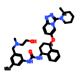 C[C@H]1CCCCN1c1nnc2ccc(O[C@@H]3CCC(NC(=O)Nc4cc(CN(C)CCO)cc(C(C)(C)C)c4)c4ccccc43)cn12